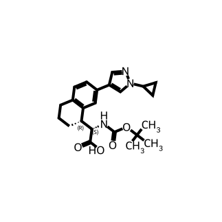 CC(C)(C)OC(=O)N[C@H](C(=O)O)[C@@H]1CCCc2ccc(-c3cnn(C4CC4)c3)cc21